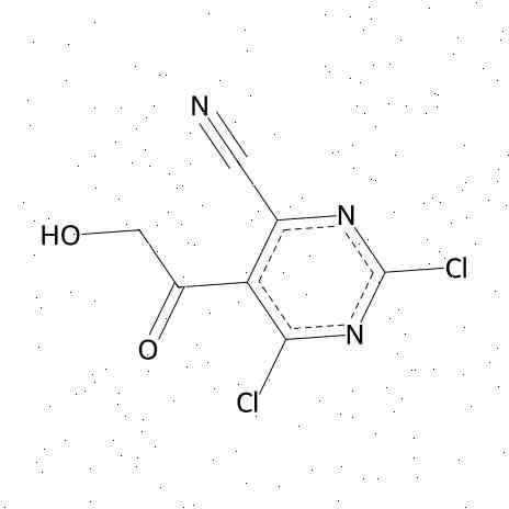 N#Cc1nc(Cl)nc(Cl)c1C(=O)CO